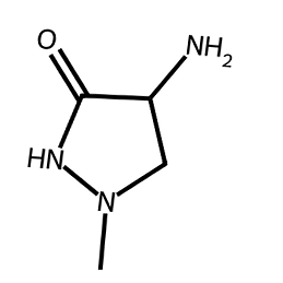 CN1CC(N)C(=O)N1